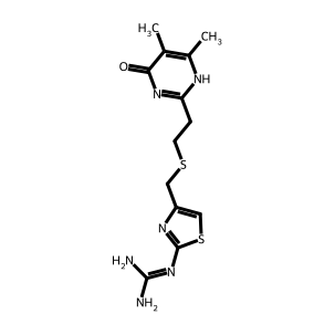 Cc1[nH]c(CCSCc2csc(N=C(N)N)n2)nc(=O)c1C